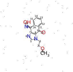 COCCn1cnc2c1C(=O)c1ccccc1C2=NO